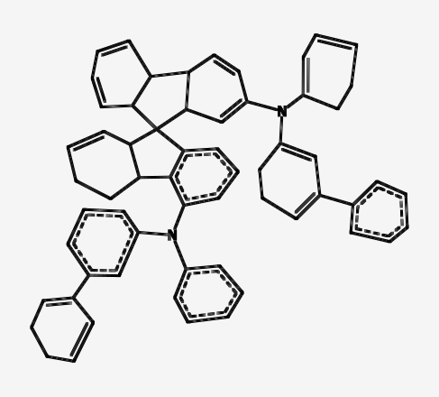 C1=CCCC(N(C2=CC3C(C=C2)C2C=CC=CC2C32c3cccc(N(c4ccccc4)c4cccc(C5=CCCC=C5)c4)c3C3CCC=CC32)C2=CC(c3ccccc3)=CCC2)=C1